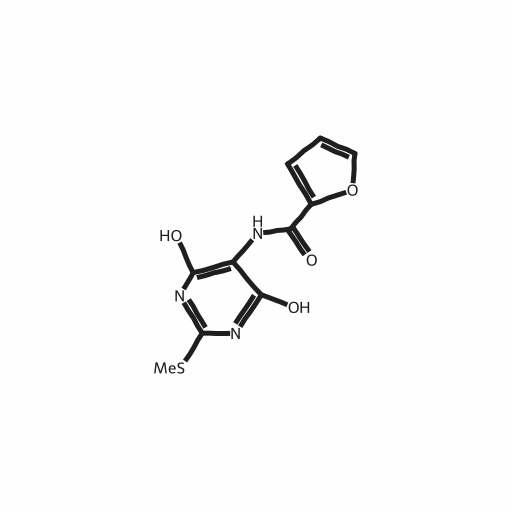 CSc1nc(O)c(NC(=O)c2ccco2)c(O)n1